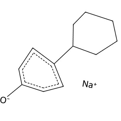 [Na+].[O-]c1ccc(C2CCCCC2)cc1